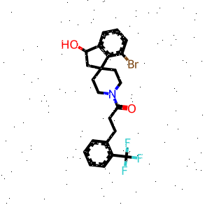 O=C(CCc1ccccc1C(F)(F)F)N1CCC2(CC1)CC(O)c1cccc(Br)c12